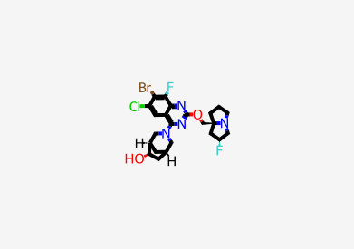 O[C@@H]1C[C@H]2C[C@@H]1CN(c1nc(OC[C@@]34CCCN3C[C@H](F)C4)nc3c(F)c(Br)c(Cl)cc13)C2